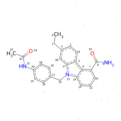 CCc1c[c]c2c3c(C(N)=O)cccc3n(Cc3ccc(NC(C)=O)cc3)c2c1